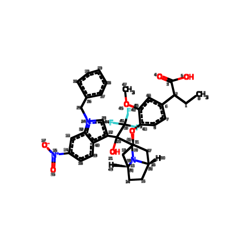 CCC(C(=O)O)c1ccc(O[C@@H]2C[C@H]3CC[C@@H](C2)N3CC(O)(c2cn(Cc3ccccc3)c3cc([N+](=O)[O-])ccc23)C(F)(F)F)c(OC)c1